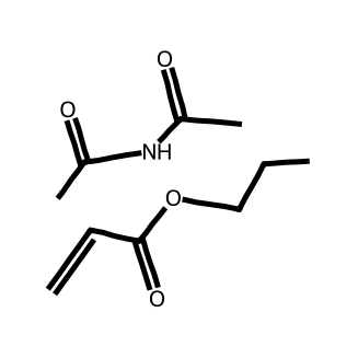 C=CC(=O)OCCC.CC(=O)NC(C)=O